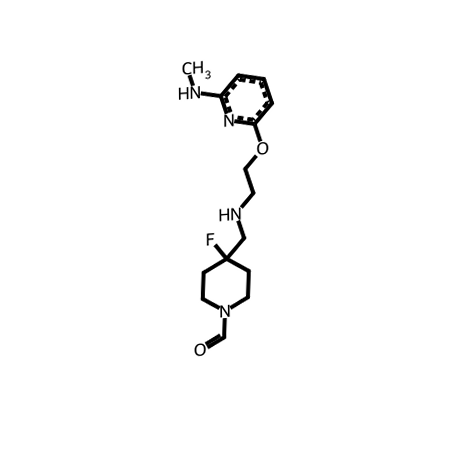 CNc1cccc(OCCNCC2(F)CCN(C=O)CC2)n1